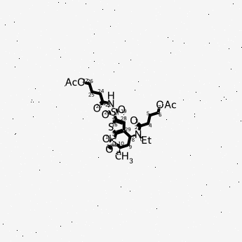 CCN(C(=O)CCCOC(C)=O)[C@H]1C[C@H](C)S(=O)(=O)c2sc(S(=O)(=O)NC(=O)CCCOC(C)=O)cc21